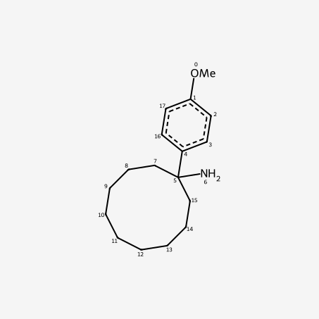 COc1ccc(C2(N)CCCCCCCCC2)cc1